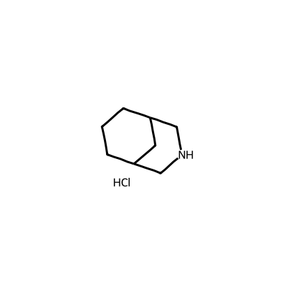 C1CC2CNCC(C1)C2.Cl